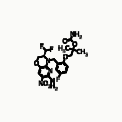 CC(C)(COc1ccc(F)cc1CN1c2nc(N)c([N+](=O)[O-])cc2OC[C@H]1C(F)F)OC(N)=O